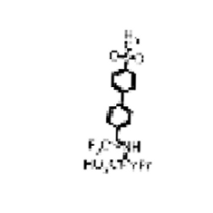 CCC[C@H](N[C@@H](c1ccc(-c2ccc(S(C)(=O)=O)cc2)cc1)C(F)(F)F)C(=O)O